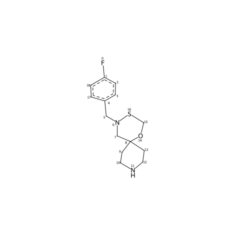 Fc1ccc(CN2CC3(CCNCC3)OCS2)cc1